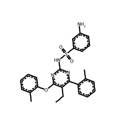 CCc1c(Oc2ccccc2C)nc(NS(=O)(=O)c2cccc(N)c2)nc1-c1ccccc1C